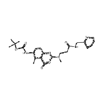 Cc1c(NC(=O)OC(C)(C)C)ccc2nc(N(C)CCC(=O)NCc3ccccn3)oc(=O)c12